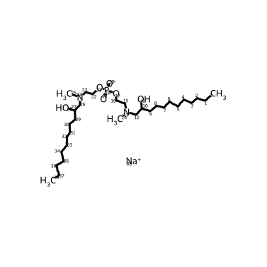 CCCCCCCCCCC(O)CN(C)CCOP(=O)([O-])OCCN(C)CC(O)CCCCCCCCCC.[Na+]